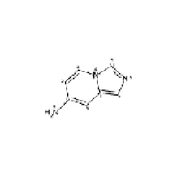 Nc1ccn2nncc2c1